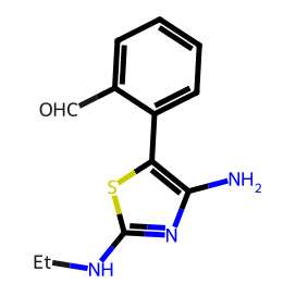 CCNc1nc(N)c(-c2ccccc2C=O)s1